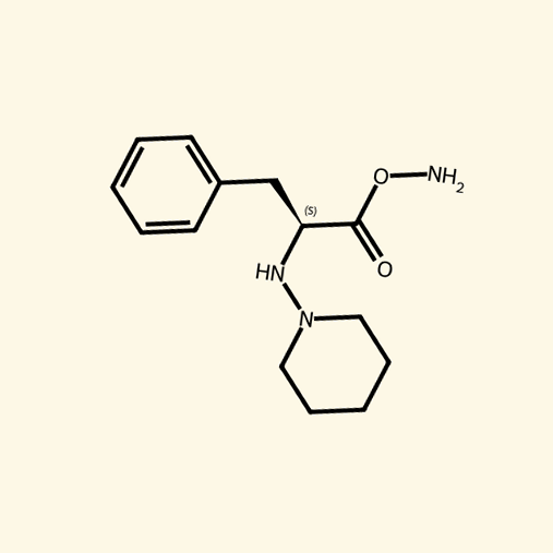 NOC(=O)[C@H](Cc1ccccc1)NN1CCCCC1